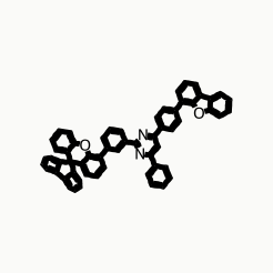 c1ccc(-c2cc(-c3ccc(-c4cccc5c4oc4ccccc45)cc3)nc(-c3cccc(-c4cccc5c4Oc4ccccc4C54c5ccccc5-c5ccccc54)c3)n2)cc1